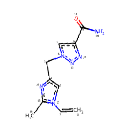 C=Cn1cc(Cn2cc(C(N)=O)nn2)nc1C